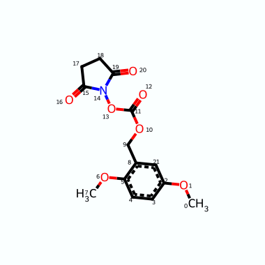 COc1ccc(OC)c(COC(=O)ON2C(=O)CCC2=O)c1